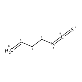 C=CCCN=C=S